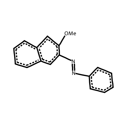 COc1cc2ccccc2cc1N=Nc1ccccc1